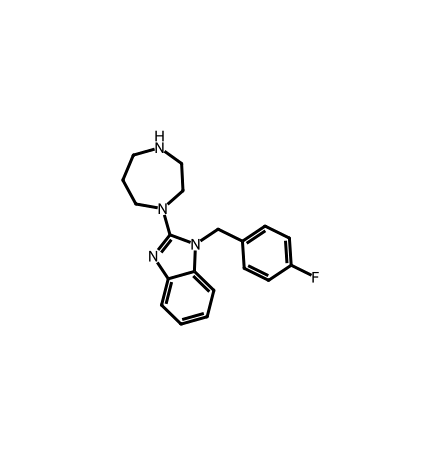 Fc1ccc(Cn2c(N3CCCNCC3)nc3ccccc32)cc1